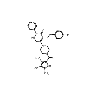 CC(=O)c1c(C)[nH]c(C(=O)N2CCN(C3=C(SCc4ccc(Cl)cc4)C(=O)N(c4ccccc4)NC3)CC2)c1C